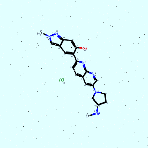 CCN[C@@H]1CCN(c2cnc3nc(-c4cc5cn(C)nc5cc4O)ccc3c2)C1.Cl